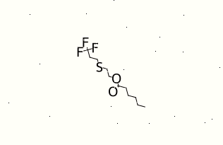 CCCCCC(=O)OCCSCCC(F)(F)F